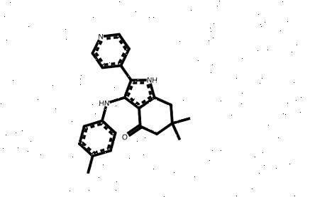 Cc1ccc(Nc2c(-c3ccncc3)[nH]c3c2C(=O)CC(C)(C)C3)cc1